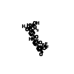 CC(C)(NC(=O)O)C(=O)N1CCN(C(=O)Nc2ccn(-c3ccc(C=O)c(OC(F)(F)F)c3)c(=O)n2)CC1